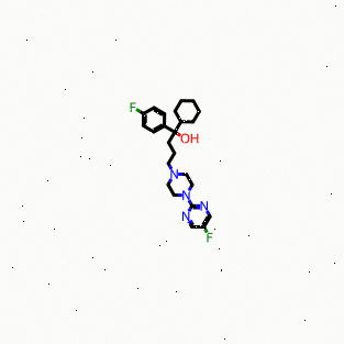 OC(CCCN1CCN(c2ncc(F)cn2)CC1)(c1ccc(F)cc1)C1CCCCC1